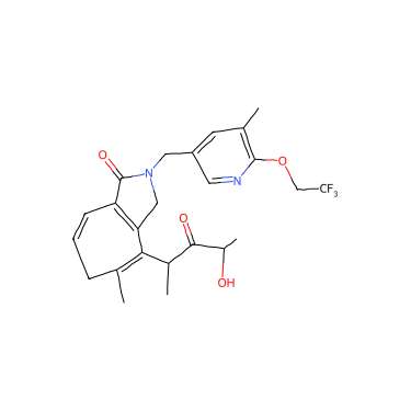 CC1=C(C(C)C(=O)C(C)O)C2=C(C=CC1)C(=O)N(Cc1cnc(OCC(F)(F)F)c(C)c1)C2